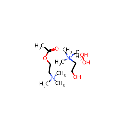 CC(=O)OCC[N+](C)(C)C.C[N+](C)(C)CCO.OO